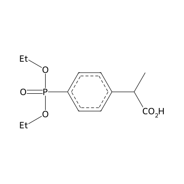 CCOP(=O)(OCC)c1ccc(C(C)C(=O)O)cc1